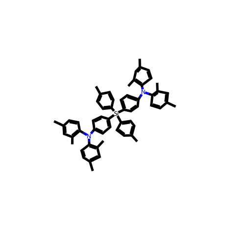 Cc1ccc([Si](c2ccc(C)cc2)(c2ccc(N(c3ccc(C)cc3C)c3ccc(C)cc3C)cc2)c2ccc(N(c3ccc(C)cc3C)c3ccc(C)cc3C)cc2)cc1